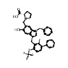 Cc1c(-c2ccccc2)ccc(OC(F)(F)F)c1Cc1cn(Cc2ccccc2)c2cc(CN3CCC[C@H]3C(=O)O)c(O)cc12